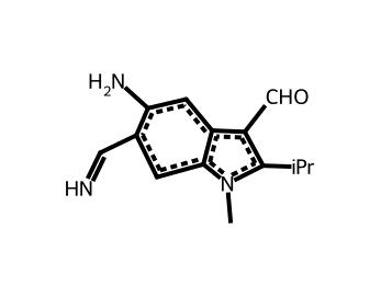 CC(C)c1c(C=O)c2cc(N)c(C=N)cc2n1C